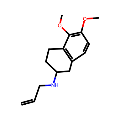 C=CCNC1CCc2c(ccc(OC)c2OC)C1